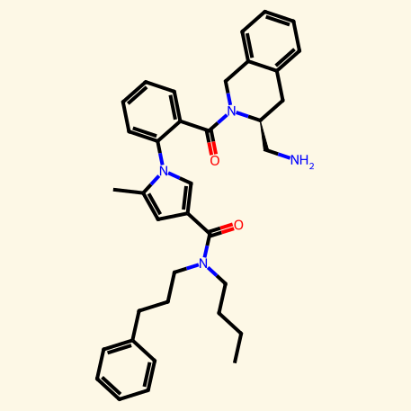 CCCCN(CCCc1ccccc1)C(=O)c1cc(C)n(-c2ccccc2C(=O)N2Cc3ccccc3C[C@H]2CN)c1